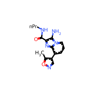 CCCNC(=O)c1nc2c(-c3cnoc3C)cccn2c1N